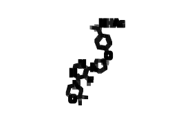 CC(=O)N[C@@H](C)c1ccc(O[C@@H]2CCN(c3ncnc(N4CCOC(C)(C)C4)c3F)C2)cc1